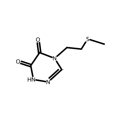 CSCCn1[c]n[nH]c(=O)c1=O